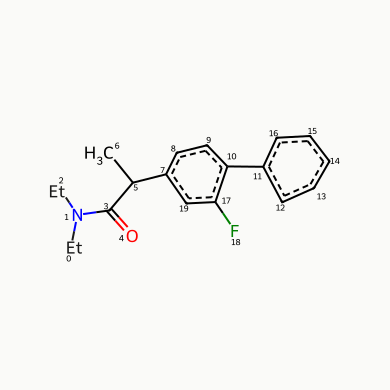 CCN(CC)C(=O)C(C)c1ccc(-c2ccccc2)c(F)c1